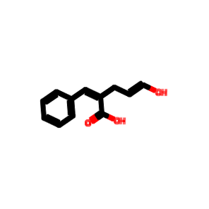 O=C(O)C(=Cc1ccccc1)CC=CO